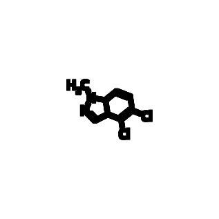 CN1N=CC2C(Cl)=C(Cl)C=CC21